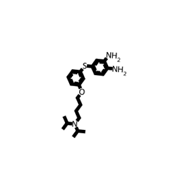 CC(C)N(CCCCOc1cccc(Sc2ccc(N)c(N)c2)c1)C(C)C